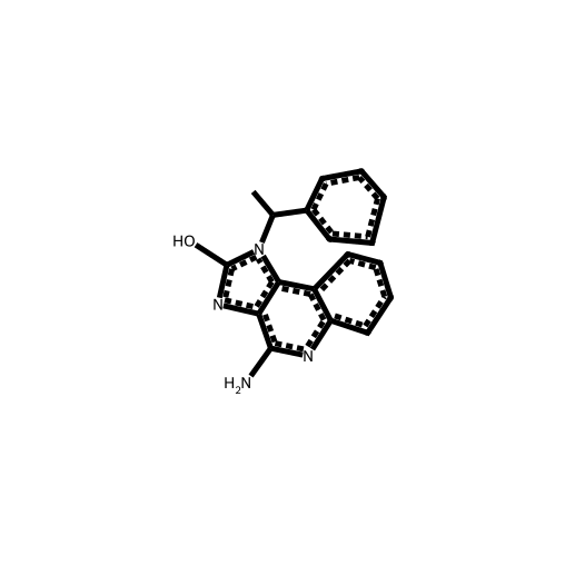 CC(c1ccccc1)n1c(O)nc2c(N)nc3ccccc3c21